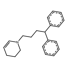 C1=CN(CCCC(c2ccccc2)c2ccccc2)CCC1